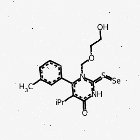 Cc1cccc(-c2c(C(C)C)c(=O)[nH]c(=S=[Se])n2COCCO)c1